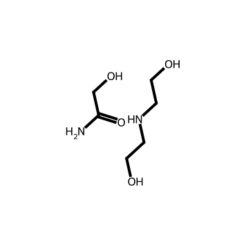 NC(=O)CO.OCCNCCO